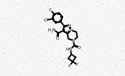 NC(=O)c1c(-c2ccc(F)c(Cl)c2)nn2c1CN(C(=O)NC1CC(F)(F)C1)CC2